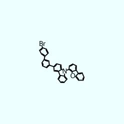 Brc1ccc(-c2cccc(-c3ccc4c(c3)c3ccccc3n4-c3cccc4c3oc3ccccc34)c2)cc1